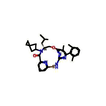 Cc1cccc(C)c1-c1nc2nc(c1C)OC[C@@H](CC(C)C)N(C1CC3(CC3)C1)C(=O)c1cccc(n1)SN2